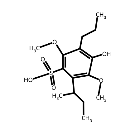 CCCc1c(O)c(OC)c(C(C)CC)c(S(=O)(=O)O)c1OC